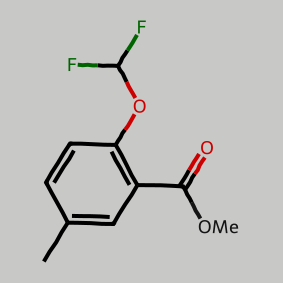 COC(=O)c1cc(C)ccc1OC(F)F